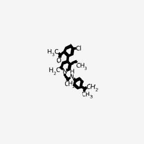 C=C(CN1C=C(CC)C(c2cc(Cl)ccc2C(C)=O)=CC1=C)Nc1ccc(C(=C)C)cc1